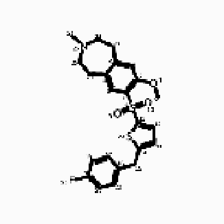 COc1cc2c(cc1S(=O)(=O)c1ccc(Cc3ccc(F)cc3)s1)CCN(C)CC2